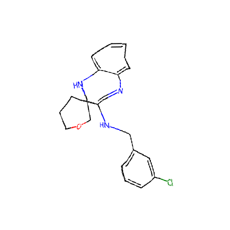 Clc1cccc(CNC2=Nc3ccccc3NC23CCCOC3)c1